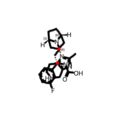 Cc1nc2c(n1[C@H]1C[C@H]3CC[C@@H](C1)N3CC[C@H](NC(=O)O)c1cccc(F)c1)CCNC2